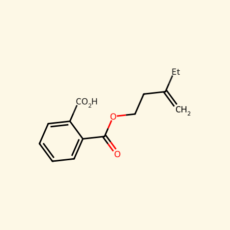 C=C(CC)CCOC(=O)c1ccccc1C(=O)O